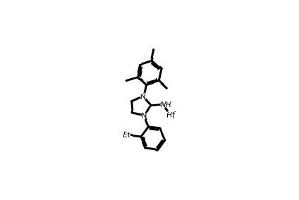 CCc1ccccc1N1CCN(c2c(C)cc(C)cc2C)C1[NH][Hf]